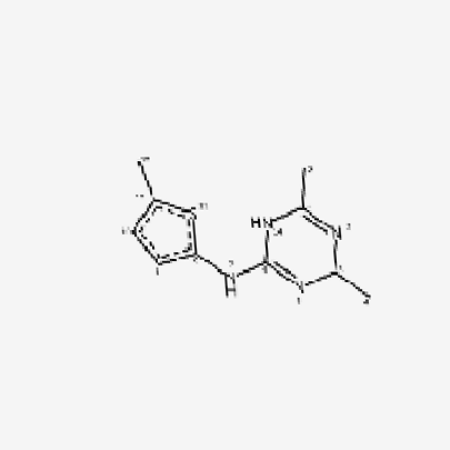 CC1=NC(C)N=C(Nc2ccc(C)s2)N1